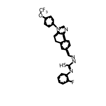 Fc1ccccc1/N=C(S)/N=N\C=c1/ccc2c(c1)CC=c1c=2ncn1-c1ccc(OC(F)(F)F)cc1